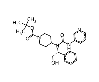 CC(C)(C)OC(=O)N1CCC(N(C(=O)Nc2cccnc2)[C@@H](CO)c2ccccc2)CC1